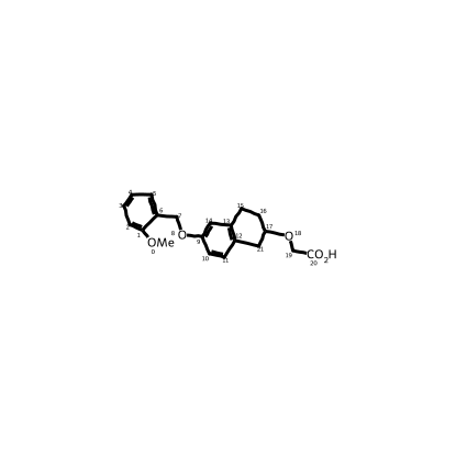 COc1ccccc1COc1ccc2c(c1)CCC(OCC(=O)O)C2